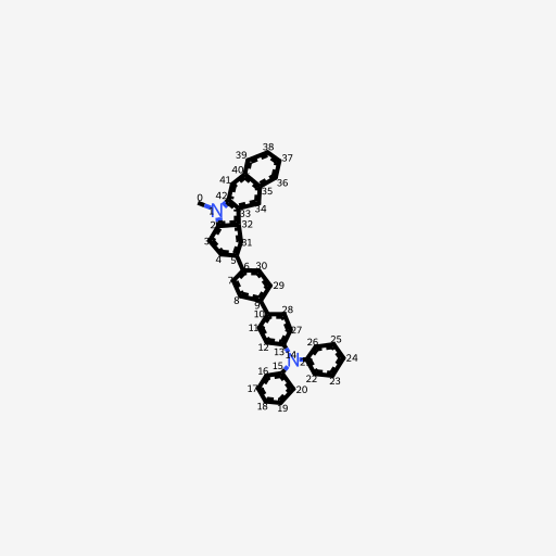 Cn1c2ccc(-c3ccc(-c4ccc(N(c5ccccc5)c5ccccc5)cc4)cc3)cc2c2cc3ccccc3cc21